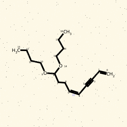 C=CC#C/C=C\CCC(OCCCC)OCCCC